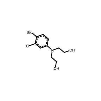 CC(C)(C)c1ccc(N(CCO)CCO)cc1Cl